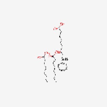 CCCCCCCC(=O)O.CCCCCCCC(=O)O.CCCCCCCC(=O)O.[SnH][c]1ccccc1